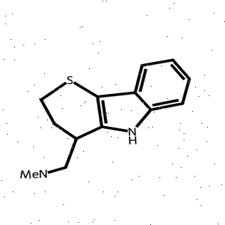 CNCC1CCSc2c1[nH]c1ccccc21